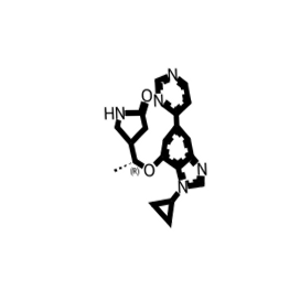 C[C@@H](Oc1cc(-c2ccncn2)cc2ncn(C3CC3)c12)C1CNC(=O)C1